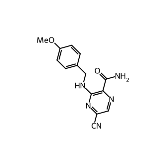 COc1ccc(CNc2nc(C#N)cnc2C(N)=O)cc1